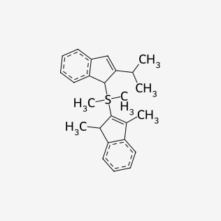 CC1=C(S(C)(C)C2C(C(C)C)=Cc3ccccc32)C(C)c2ccccc21